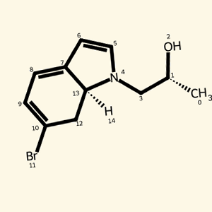 C[C@@H](O)CN1C=CC2=CC=C(Br)C[C@@H]21